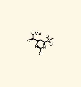 COC(=O)c1cc(S(C)(=O)=O)nc(Cl)n1